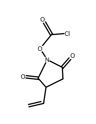 C=CC1CC(=O)N(OC(=O)Cl)C1=O